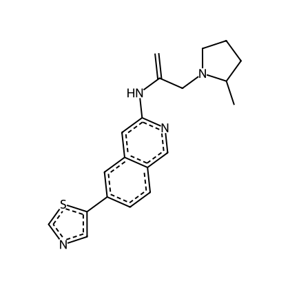 C=C(CN1CCCC1C)Nc1cc2cc(-c3cncs3)ccc2cn1